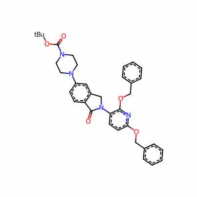 CC(C)(C)OC(=O)N1CCN(c2ccc3c(c2)CN(c2ccc(OCc4ccccc4)nc2OCc2ccccc2)C3=O)CC1